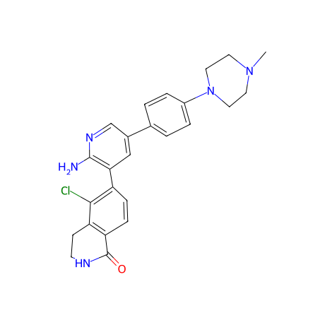 CN1CCN(c2ccc(-c3cnc(N)c(-c4ccc5c(c4Cl)CCNC5=O)c3)cc2)CC1